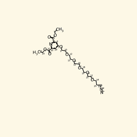 CCOC(=O)c1cc(OCCOCCOCCOCCOCCOCCN=[N+]=[N-])cc(C(=O)OCC)n1